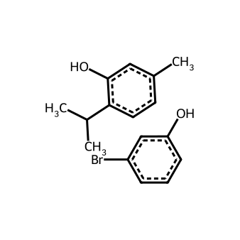 Cc1ccc(C(C)C)c(O)c1.Oc1cccc(Br)c1